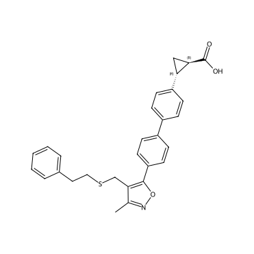 Cc1noc(-c2ccc(-c3ccc([C@@H]4C[C@H]4C(=O)O)cc3)cc2)c1CSCCc1ccccc1